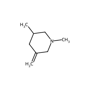 C=C1CC(C)CN(C)C1